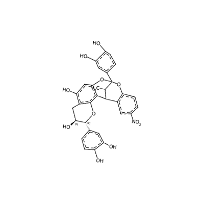 CC1C2c3cc([N+](=O)[O-])ccc3OC1(c1ccc(O)c(O)c1)Oc1cc(O)c3c(c12)O[C@H](c1ccc(O)c(O)c1)[C@@H](O)C3